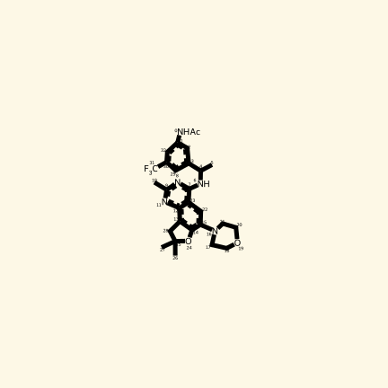 CC(=O)Nc1cc(C(C)Nc2nc(C)nc3c4c(c(N5CCOCC5)cc23)OC(C)(C)C4)cc(C(F)(F)F)c1